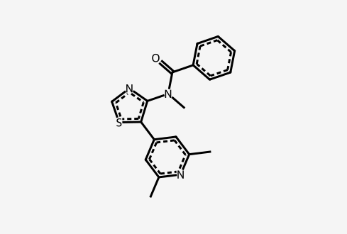 Cc1cc(-c2scnc2N(C)C(=O)c2ccccc2)cc(C)n1